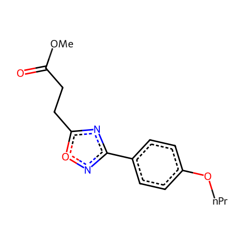 CCCOc1ccc(-c2noc(CCC(=O)OC)n2)cc1